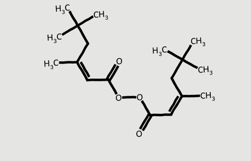 CC(=CC(=O)OOC(=O)C=C(C)CC(C)(C)C)CC(C)(C)C